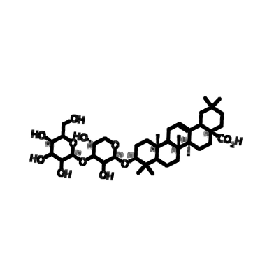 CC1(C)CC[C@]2(C(=O)O)CC[C@]3(C)C(=CCC4[C@@]5(C)CC[C@H](O[C@@H]6OC[C@@H](O)C(O[C@@H]7OC(CO)[C@H](O)C(O)C7O)C6O)C(C)(C)C5CC[C@]43C)C2C1